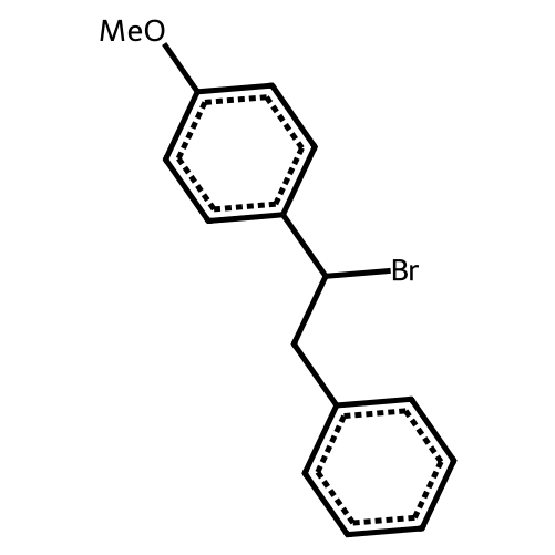 COc1ccc(C(Br)Cc2ccccc2)cc1